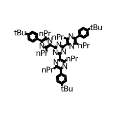 CCCc1nc(-c2nc(-c3nc(CCC)c(-c4ccc(C(C)(C)C)cc4)nc3CCC)nc(-c3nc(CCC)c(-c4ccc(C(C)(C)C)cc4)nc3CCC)n2)c(CCC)nc1-c1ccc(C(C)(C)C)cc1